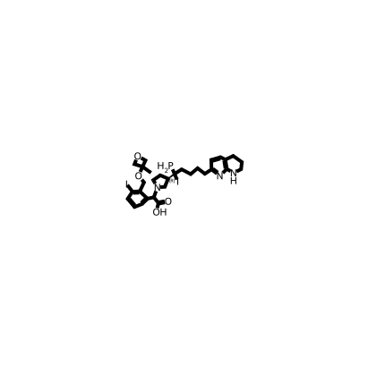 CC1(OCc2c(I)cccc2C(C(=O)O)N2CC[C@@H](C(P)(I)CCCCc3ccc4c(n3)NCCC4)C2)COC1